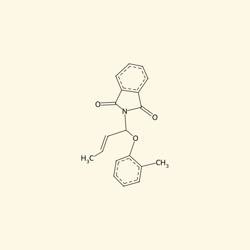 CC=CC(Oc1ccccc1C)N1C(=O)c2ccccc2C1=O